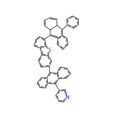 C1=CC2C(c3ccccc3)=c3ccccc3=C(c3cccc4c3sc3cc(-c5c6ccccc6c(-c6cccnc6)c6ccccc56)ccc34)C2C=C1